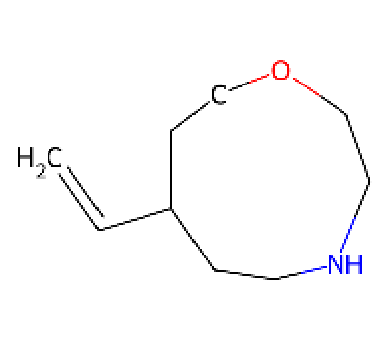 C=CC1CCNCCOCC1